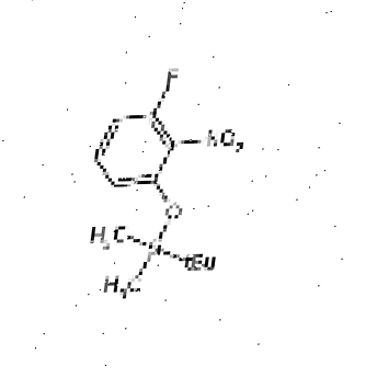 CC(C)(C)[Si](C)(C)Oc1cccc(F)c1[N+](=O)[O-]